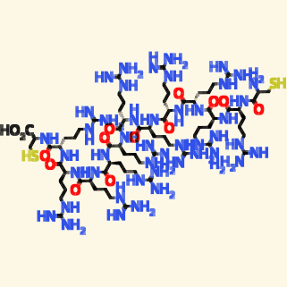 N=C(N)NCCC[C@H](NC(=O)[C@H](CCCNC(=N)N)NC(=O)[C@H](CCCNC(=N)N)NC(=O)[C@H](CCCNC(=N)N)NC(=O)[C@H](CCCNC(=N)N)NC(=O)[C@H](CCCNC(=N)N)NC(=O)[C@H](CCCNC(=N)N)NC(=O)[C@H](CCCNC(=N)N)NC(=O)[C@H](CCCNC(=N)N)NC(=O)[C@H](CCCNC(=N)N)NC(=O)[C@H](CCCNC(=N)N)NC(=O)[C@@H](N)CS)C(=O)N[C@@H](CS)C(=O)O